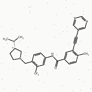 Cc1ccc(C(=O)Nc2ccc(CN3CC[C@H](N(C)C)C3)c(C(F)(F)F)c2)cc1C#Cc1cncnc1